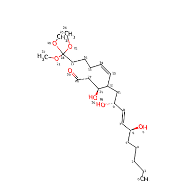 CCCCC[C@H](O)/C=C/[C@H](O)CC(/C=C\CCCC(OC)(OC)OC)[C@@H](O)CC=O